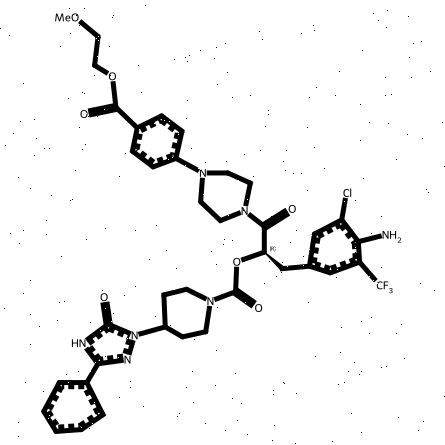 COCCOC(=O)c1ccc(N2CCN(C(=O)[C@@H](Cc3cc(Cl)c(N)c(C(F)(F)F)c3)OC(=O)N3CCC(n4nc(-c5ccccc5)[nH]c4=O)CC3)CC2)cc1